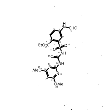 CCOC(=O)c1ccc(NC=O)cc1S(=O)(=O)NC(=O)Nc1nc(OC)cc(OC)n1